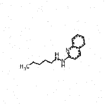 CCCCCNNc1ccc2ccccc2n1